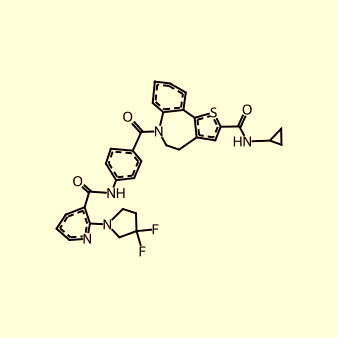 O=C(NC1CC1)c1cc2c(s1)-c1ccccc1N(C(=O)c1ccc(NC(=O)c3cccnc3N3CCC(F)(F)C3)cc1)CC2